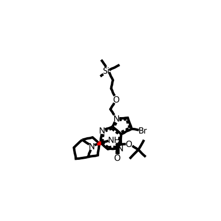 CC(C)(C)OC(=O)NC1CC2CCC(C1)N2c1cnc2c(Br)cn(COCC[Si](C)(C)C)c2n1